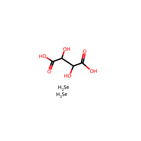 O=C(O)C(O)C(O)C(=O)O.[SeH2].[SeH2]